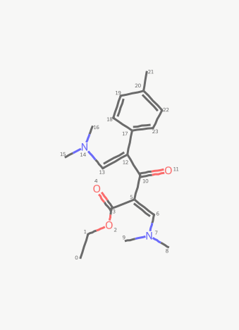 CCOC(=O)C(=CN(C)C)C(=O)C(=CN(C)C)c1ccc(C)cc1